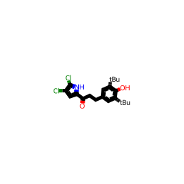 CC(C)(C)c1cc(CCC(=O)c2cc(Cl)c(Cl)[nH]2)cc(C(C)(C)C)c1O